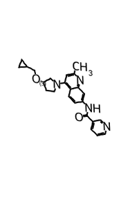 Cc1cc(N2CC[C@H](OCC3CC3)C2)c2ccc(NC(=O)c3cccnc3)cc2n1